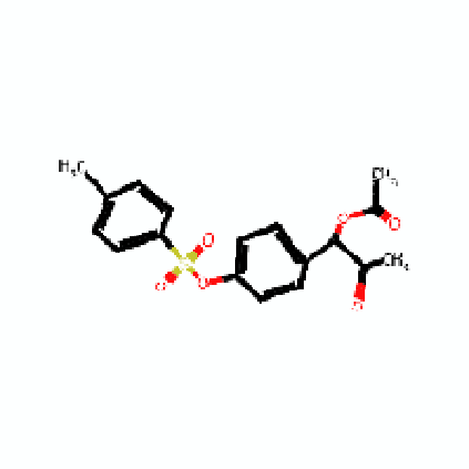 CC(=O)OC(C(C)=O)c1ccc(OS(=O)(=O)c2ccc(C)cc2)cc1